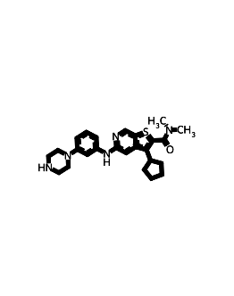 CN(C)C(=O)c1sc2cnc(Nc3cccc(N4CCNCC4)c3)cc2c1C1CCCC1